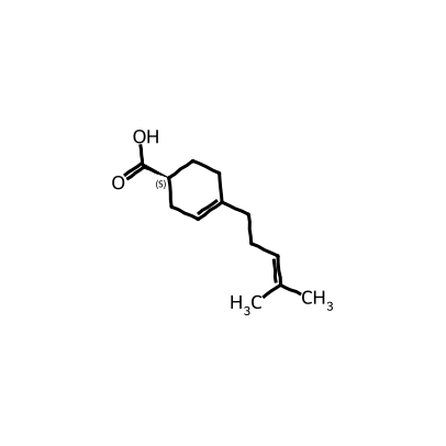 CC(C)=CCCC1=CC[C@@H](C(=O)O)CC1